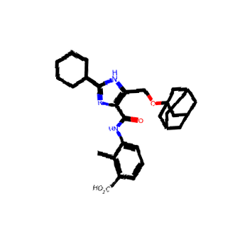 Cc1c(NC(=O)c2nc(C3CCCCC3)[nH]c2COC23CC4CC(CC(C4)C2)C3)cccc1C(=O)O